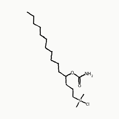 CCCCCCCCCCCC(CCC[Si](C)(C)Cl)OC(N)=O